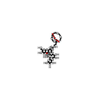 O=C(NCCC1CN2CCOCCOCCN(CCOCCOCC2)CCOCCO1)O[C@H]1C(O)[C@H](O[C@@H]2OC(CO)[C@@H](O)C(O)[C@@H]2O)C(CO)O[C@H]1O[C@@H]1C(CO)O[C@@H](O[C@@H]2C(CO)O[C@@H](O)[C@@H](O)C2O)[C@@H](O)C1O